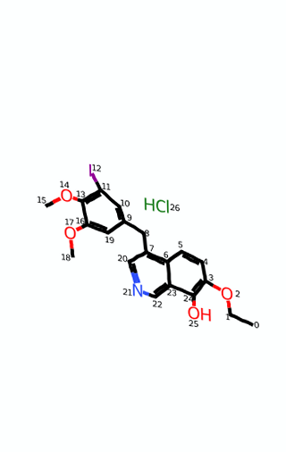 CCOc1ccc2c(Cc3cc(I)c(OC)c(OC)c3)cncc2c1O.Cl